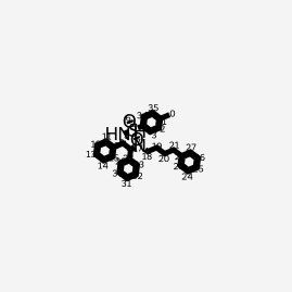 Cc1ccc(S(=O)(=O)NC(c2ccccc2)C(NCCCCc2ccccc2)c2ccccc2)cc1